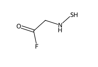 O=C(F)CNS